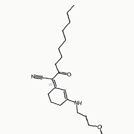 CCCCCCCCC(=O)/C(C#N)=C1\C=C(NCCCOC)CCC1